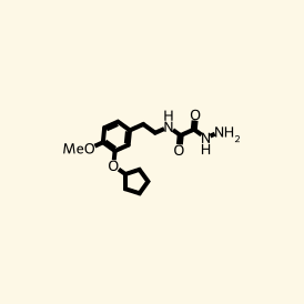 COc1ccc(CCNC(=O)C(=O)NN)cc1OC1CCCC1